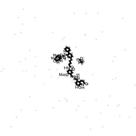 COc1cc(NC(=O)CCCCc2ccc(-c3ccccc3)c(NC(=O)O[C@@H]3C[C@@H]4[C@H]5O[C@H]5[C@H](C3)[N+]4(C)C)c2)c(Cl)cc1CNC[C@H](O)c1ccc(O)c2[nH]c(=O)ccc12.O=C([O-])C(F)(F)F